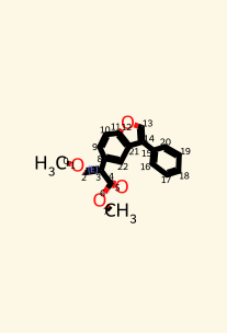 CO/C=C(/C(=O)OC)c1ccc2occ(-c3ccccc3)c2c1